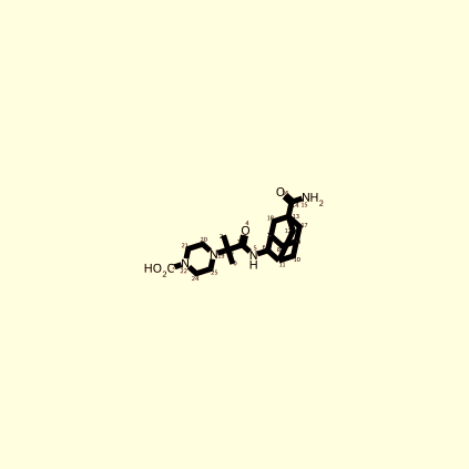 CC(C)(C(=O)NC1C2CC3CC1CC(C(N)=O)(C3)C2)N1CCN(C(=O)O)CC1